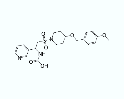 COc1ccc(COC2CCN(S(=O)(=O)CC(NC(=O)O)c3cccnc3)CC2)cc1